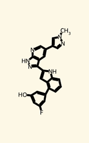 Cn1cc(-c2cnc3[nH]nc(-c4cc5c(-c6cc(O)cc(F)c6)cccc5[nH]4)c3c2)cn1